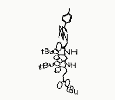 Cc1ccc(-c2cn(CC(=O)NC(CC(=O)NC(CCC(=O)OC(C)(C)C)C(=O)OC(C)(C)C)C(=O)OC(C)(C)C)nn2)cc1